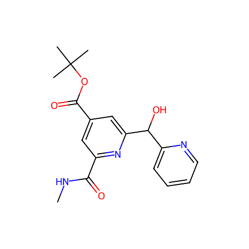 CNC(=O)c1cc(C(=O)OC(C)(C)C)cc(C(O)c2ccccn2)n1